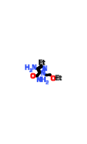 CCOCCn1nc(CC)c(N)c1C(N)=O